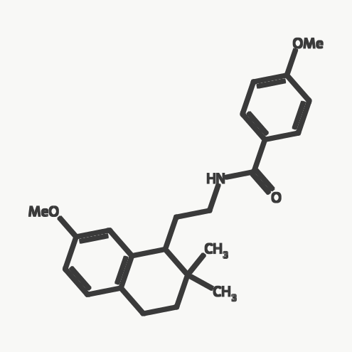 COc1ccc(C(=O)NCCC2c3cc(OC)ccc3CCC2(C)C)cc1